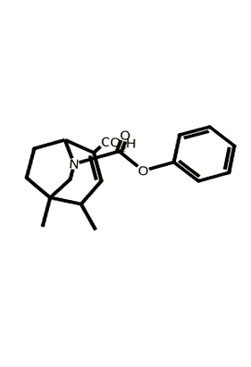 CC1C=C(C(=O)O)C2CCC1(C)CN2C(=O)Oc1ccccc1